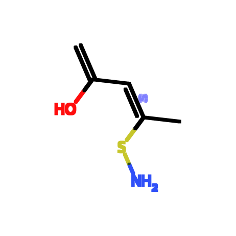 C=C(O)/C=C(/C)SN